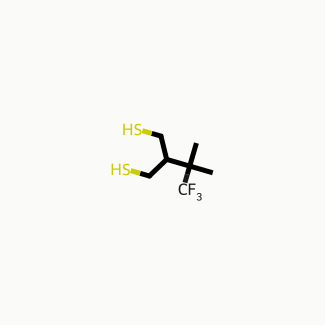 CC(C)(C(CS)CS)C(F)(F)F